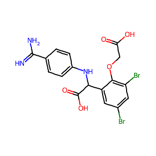 N=C(N)c1ccc(NC(C(=O)O)c2cc(Br)cc(Br)c2OCC(=O)O)cc1